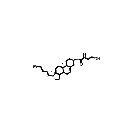 CC(C)CCC[C@@H](C)[C@H]1CCC2C3CC=C4CC(OC(=O)NCCO)CC[C@]4(C)C3CC[C@@]21C